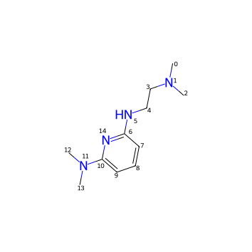 CN(C)CCNc1cccc(N(C)C)n1